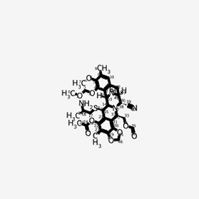 COCOc1c(OC)c(C)cc2c1[C@H]1C3[C@H](SC[C@@H](C)N)c4c(OC(C)=O)c(C)c5c(c4[C@H](COC=O)N3[C@@H](C#N)[C@H](C2)N1C)OCO5